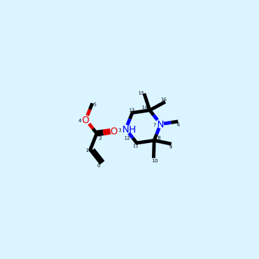 C=CC(=O)OC.CN1C(C)(C)CNCC1(C)C